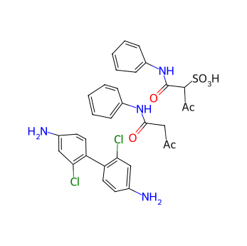 CC(=O)C(C(=O)Nc1ccccc1)S(=O)(=O)O.CC(=O)CC(=O)Nc1ccccc1.Nc1ccc(-c2ccc(N)cc2Cl)c(Cl)c1